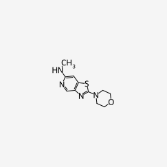 CNc1cc2sc(N3CCOCC3)nc2cn1